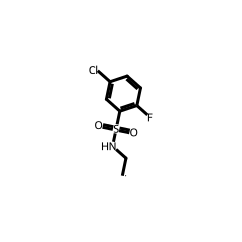 [CH2]CNS(=O)(=O)c1cc(Cl)ccc1F